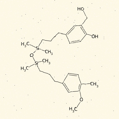 COc1cc(CCC[Si](C)(C)O[Si](C)(C)CCCc2ccc(O)c(CO)c2)ccc1C